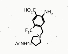 CC(=O)N[C@H]1CCN(Cc2cc(N)c(C(=O)O)cc2C(F)(F)F)C1